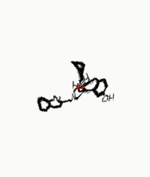 Oc1ccc2c(c1)[C@@]13CCN(CCc4ccc5ccccc5n4)CC[C@@]1(O)[C@@H](C2)N(CC1CC1)CC3